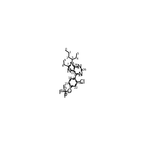 CCCC(CC)n1c(CC)nc2c(-c3ccc(OC(F)(F)F)cc3Cl)ncnc21